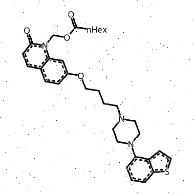 CCCCCCC(=O)OCn1c(=O)ccc2ccc(OCCCCN3CCN(c4cccc5sccc45)CC3)cc21